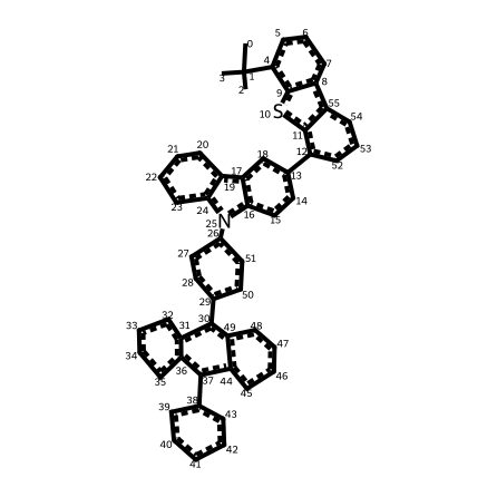 CC(C)(C)c1cccc2c1sc1c(-c3ccc4c(c3)c3ccccc3n4-c3ccc(-c4c5ccccc5c(-c5ccccc5)c5ccccc45)cc3)cccc12